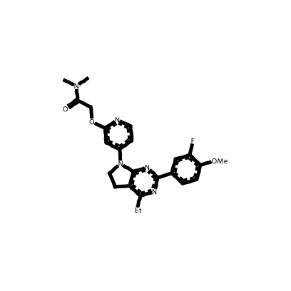 CCc1nc(-c2ccc(OC)c(F)c2)nc2c1CCN2c1ccnc(OCC(=O)N(C)C)c1